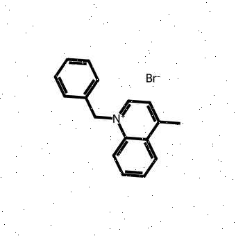 Cc1cc[n+](Cc2ccccc2)c2ccccc12.[Br-]